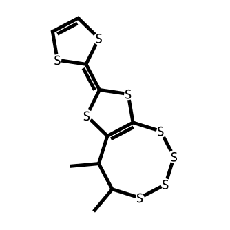 CC1SSSSC2=C(SC(=C3SC=CS3)S2)C1C